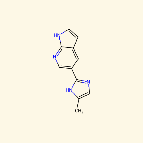 Cc1cnc(-c2cnc3[nH]ccc3c2)[nH]1